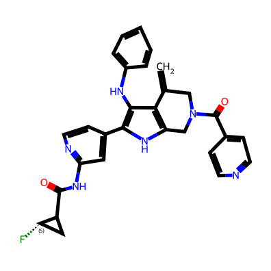 C=C1CN(C(=O)c2ccncc2)Cc2[nH]c(-c3ccnc(NC(=O)C4C[C@@H]4F)c3)c(Nc3ccccc3)c21